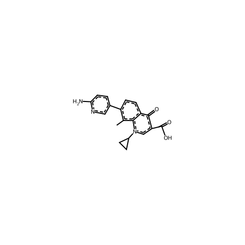 Cc1c(-c2ccc(N)nc2)ccc2c(=O)c(C(=O)O)cn(C3CC3)c12